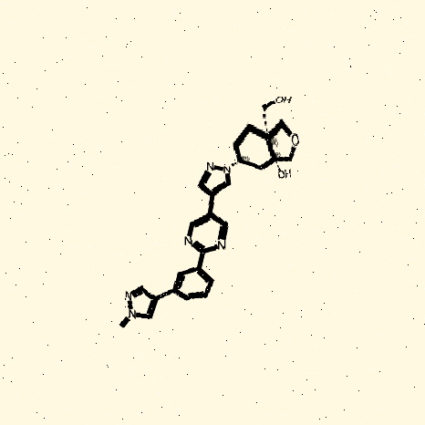 Cn1cc(-c2cccc(-c3ncc(-c4cnn([C@@H]5CC[C@@]6(CO)COC[C@@]6(O)C5)c4)cn3)c2)cn1